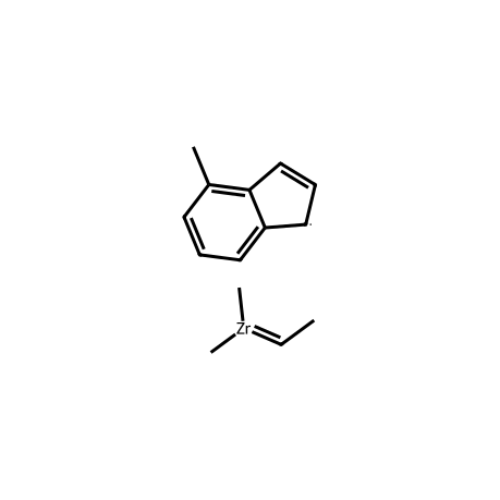 C[CH]=[Zr]([CH3])[CH3].Cc1cccc2c1C=C[CH]2